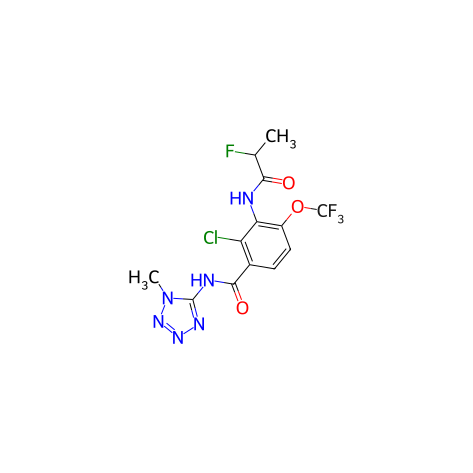 CC(F)C(=O)Nc1c(OC(F)(F)F)ccc(C(=O)Nc2nnnn2C)c1Cl